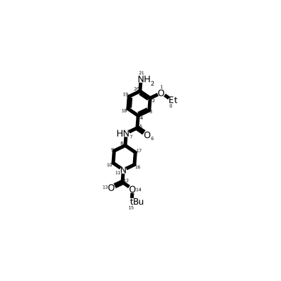 CCOc1cc(C(=O)NC2CCN(C(=O)OC(C)(C)C)CC2)ccc1N